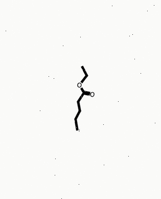 [CH]CCCC(=O)OCC